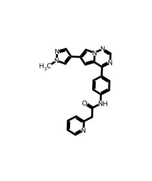 Cn1cc(-c2cc3c(-c4ccc(NC(=O)Cc5ccccn5)cc4)ncnn3c2)cn1